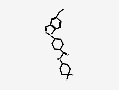 CCc1ccc2c(cnn2C2CCC(C(=O)NC3CCC(F)(F)CC3)CC2)c1